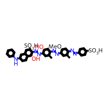 COc1cc(N=Nc2ccc(S(=O)(=O)O)cc2)c(C)cc1N=Nc1cc(O)c(N=Nc2c(S(=O)(=O)O)cc3cc(Nc4ccccc4)ccc3c2O)cc1C